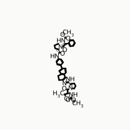 COC(=O)N[C@H](C(=O)N1CCC[C@H]1c1nc2c([nH]1)-c1ccc(-c3ccc(NC(=O)[C@@H]4CCCN4C(=O)[C@H](NC(=O)OC)c4ccccc4)cc3)cc1CC2)C(C)C